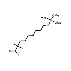 CO[Si](CCCCCCCCC(C)(C)C(F)F)(OC)OC